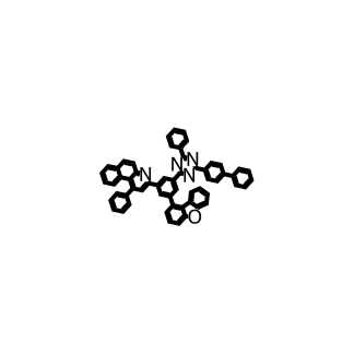 c1ccc(-c2ccc(-c3nc(-c4ccccc4)nc(-c4cc(-c5cc(-c6ccccc6)c6c(ccc7ccccc76)n5)cc(-c5cccc6oc7ccccc7c56)c4)n3)cc2)cc1